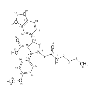 CCCCNC(=O)CN1CC(c2ccc3c(c2)OCO3)C(C(=O)O)C1c1ccc(OC)cc1